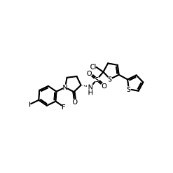 O=C1[C@@H](NS(=O)(=O)C2(Cl)CC=C(c3cccs3)S2)CCN1c1ccc(I)cc1F